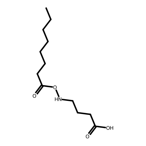 CCCCCCCC(=O)ONCCCC(=O)O